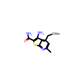 COCc1cc(C)nc2sc(C(N)=O)c(N)c12